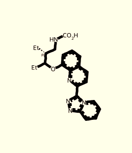 CCC(Oc1cccc2ccc(-c3nnc4ccccn34)nc12)[C@H](CC)CNC(=O)O